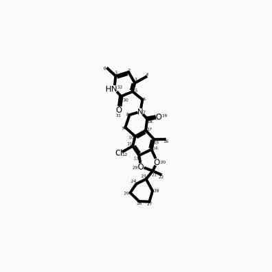 Cc1cc(C)c(CN2CCc3c(Cl)c4c(c(C)c3C2=O)OC(C)(C2CCCCC2)O4)c(=O)[nH]1